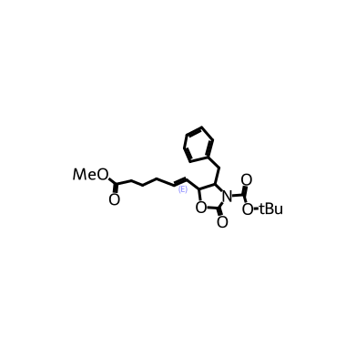 COC(=O)CCC/C=C/C1OC(=O)N(C(=O)OC(C)(C)C)C1Cc1ccccc1